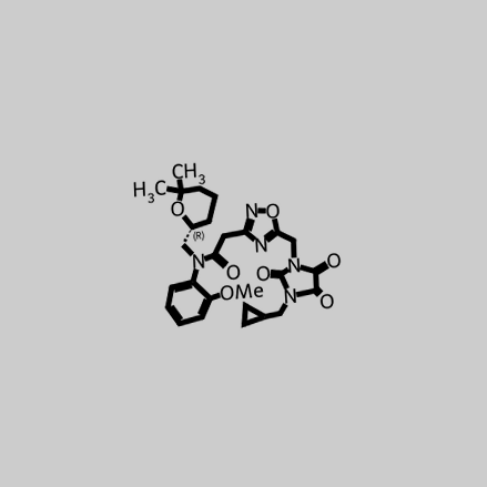 COc1ccccc1N(C[C@H]1CCCC(C)(C)O1)C(=O)Cc1noc(CN2C(=O)C(=O)N(CC3CC3)C2=O)n1